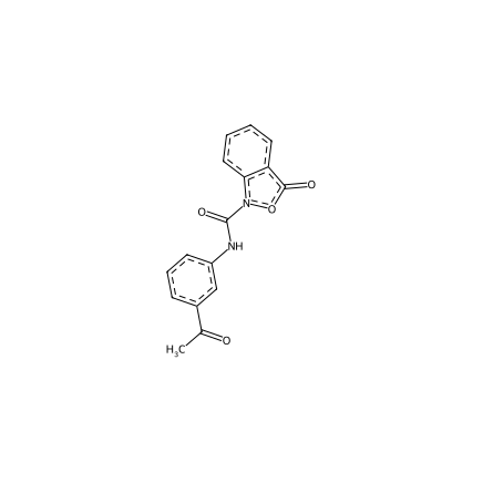 CC(=O)c1cccc(NC(=O)n2oc(=O)c3ccccc32)c1